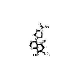 CC(C)C(=O)N1CCN(c2ccnc3c(O)c([N+](=O)[O-])cc(Cl)c23)CC1